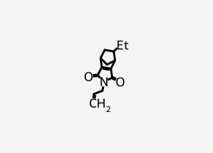 C=CCN1C(=O)C2=C(C1=O)C1CC2CC1CC